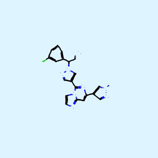 Cn1cc(-c2cc3nccn3c(-c3cnn(C(CC#N)c4cccc(Cl)c4)c3)n2)cn1